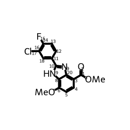 COC(=O)c1ccc(OC)c2[nH]c(-c3ccc(F)c(Cl)c3)nc12